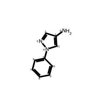 Nc1cnn(-c2c[c]ccc2)c1